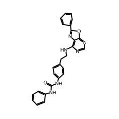 O=C(Nc1ccccc1)Nc1ccc(CCNc2ncnc3oc(-c4ccccc4)nc23)cc1